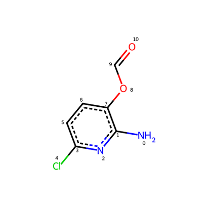 Nc1nc(Cl)ccc1OC=O